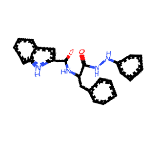 O=C(NC(Cc1ccccc1)C(=O)NNc1ccccc1)c1cc2ccccc2[nH]1